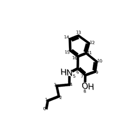 CCCCCNc1c(O)ccc2ccccc12